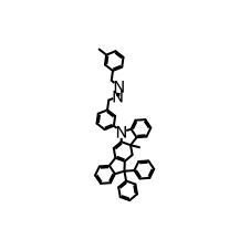 Cc1cccc(C/N=N\Cc2cccc(N3C4=CC5=C(CC4(C)c4ccccc43)C(c3ccccc3)(c3ccccc3)c3ccccc35)c2)c1